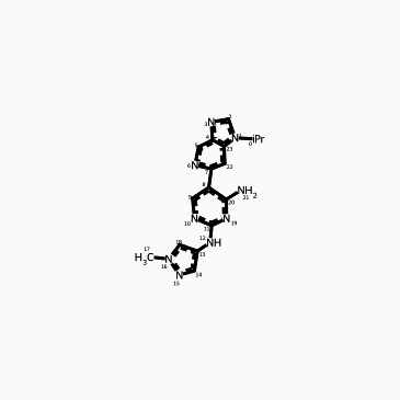 CC(C)n1cnc2cnc(-c3cnc(Nc4cnn(C)c4)nc3N)cc21